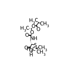 CC(C)C(=O)O[C@@H](C)OC(=O)NC[C@H](SC(C)(C)C)C(=O)O